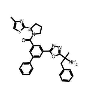 Cc1csc([C@H]2CCCN2C(=O)c2cc(-c3ccccc3)cc(-c3nnc(C(C)(N)Cc4ccccc4)o3)c2)n1